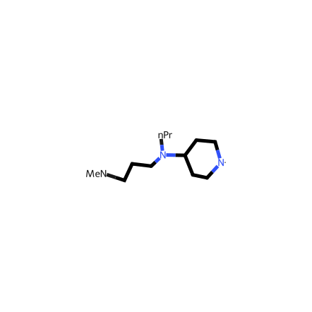 CCCN(CCCNC)C1CC[N]CC1